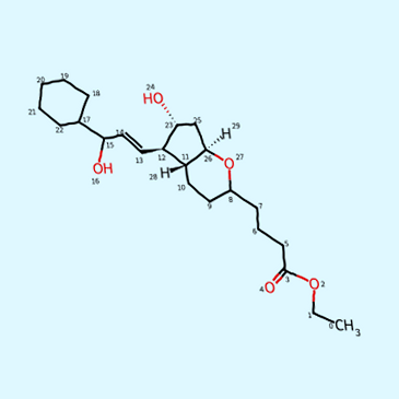 CCOC(=O)CCCC1CC[C@@H]2[C@@H](/C=C/C(O)C3CCCCC3)[C@H](O)C[C@H]2O1